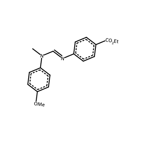 CCOC(=O)c1ccc(N=CN(C)c2ccc(OC)cc2)cc1